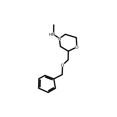 CNN1CCOC(COCc2ccccc2)C1